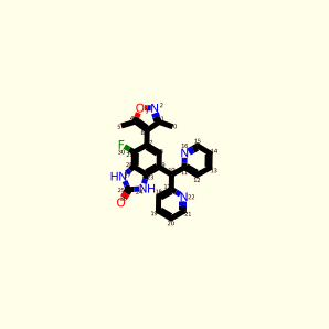 Cc1noc(C)c1-c1cc(C(c2ccccn2)c2ccccn2)c2[nH]c(=O)[nH]c2c1F